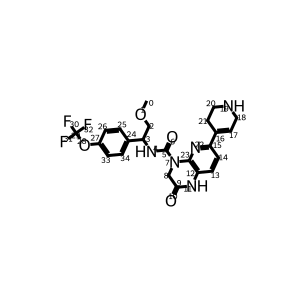 COCC(NC(=O)N1CC(=O)Nc2ccc(C3=CCNCC3)nc21)c1ccc(OC(F)(F)F)cc1